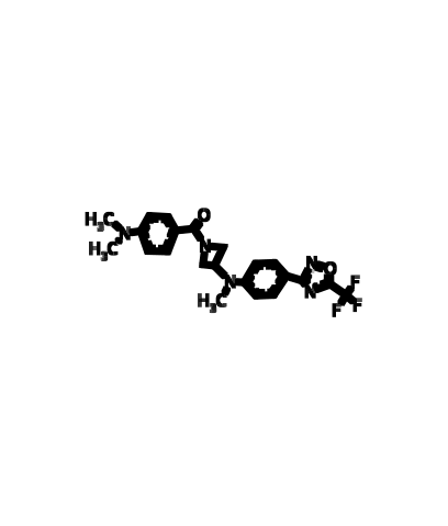 CN(C)c1ccc(C(=O)N2CC(N(C)c3ccc(-c4noc(C(F)(F)F)n4)cc3)C2)cc1